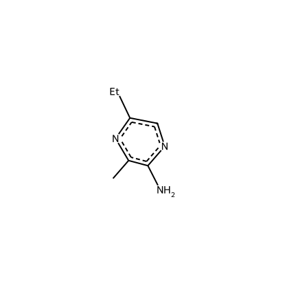 CCc1cnc(N)c(C)n1